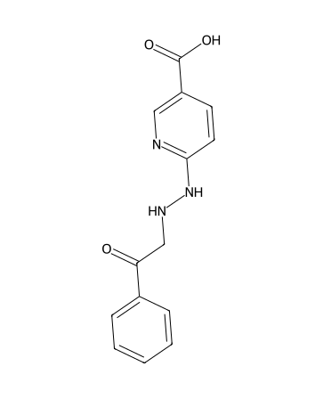 O=C(O)c1ccc(NNCC(=O)c2ccccc2)nc1